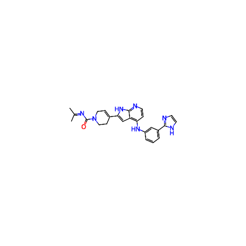 CC(C)=NC(=O)N1CC=C(c2cc3c(Nc4cccc(-c5ncc[nH]5)c4)ccnc3[nH]2)CC1